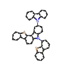 c1ccc2c(c1)sc1c(-n3c4ccc(-n5c6ccccc6c6ccccc65)cc4c4c5sc6ccccc6c5ccc43)cccc12